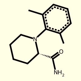 Cc1cccc(C)c1N1CCCC[C@H]1C(N)=O